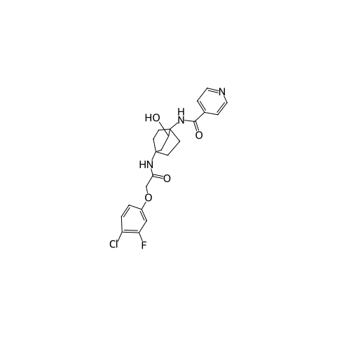 O=C(COc1ccc(Cl)c(F)c1)NC12CCC(NC(=O)c3ccncc3)(CC1)C(O)C2